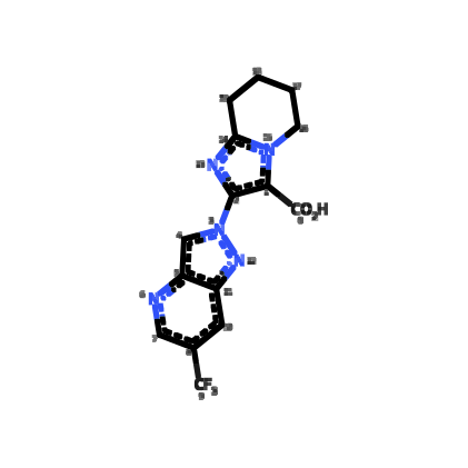 O=C(O)c1c(-n2cc3ncc(C(F)(F)F)cc3n2)nc2n1CCCC2